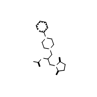 CC(C)C(=O)OC(CN1CCN(c2ccccn2)CC1)CN1C(=O)CCC1=O